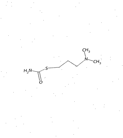 CN(C)CCCSC(N)=O